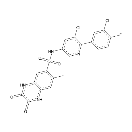 Cc1cc2[nH]c(=O)c(=O)[nH]c2cc1S(=O)(=O)Nc1cnc(-c2ccc(F)c(Cl)c2)c(Cl)c1